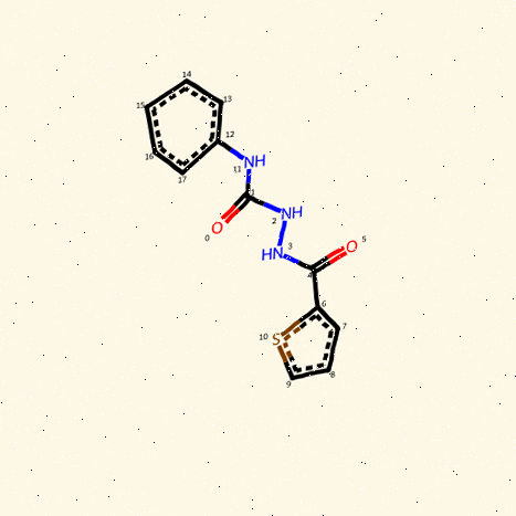 O=C(NNC(=O)c1cccs1)Nc1ccccc1